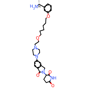 C[C@@H](N)c1cccc(OCCCCCCOCCN2CCN(c3ccc4c(c3)CN(C3CCC(=O)NC3=O)C4=O)CC2)c1